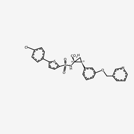 O=C(O)[C@@]1(NS(=O)(=O)c2ccc(-c3ccc(Cl)cc3)s2)C[C@H]1c1cccc(OCc2cccnc2)c1